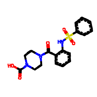 O=C(O)N1CCN(C(=O)c2ccccc2NS(=O)(=O)c2ccccc2)CC1